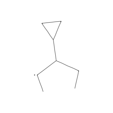 C[CH]C(CC)C1CC1